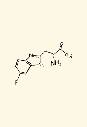 N[C@H](Cc1nc2ccc(F)cc2[nH]1)C(=O)O